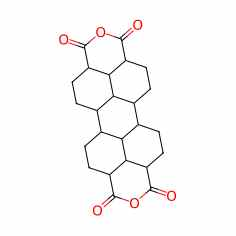 O=C1OC(=O)C2CCC3C4CCC5C(=O)OC(=O)C6CCC(C7CCC1C2C73)C4C65